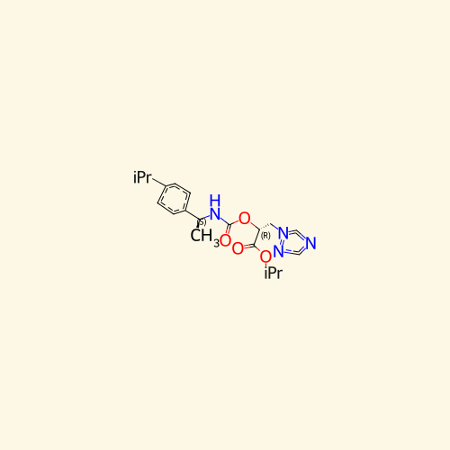 CC(C)OC(=O)[C@@H](Cn1cncn1)OC(=O)N[C@@H](C)c1ccc(C(C)C)cc1